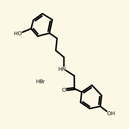 Br.O=C(CNCCCc1cccc(O)c1)c1ccc(O)cc1